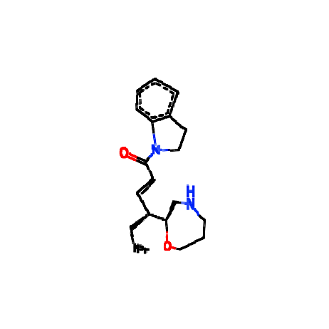 CC(C)C[C@@H](/C=C/C(=O)N1CCc2ccccc21)[C@H]1CNCCCO1